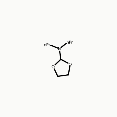 CCCN(CCC)[C]1OCCO1